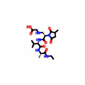 CCNC(=O)[C@H](C)NC(=O)[C@@H](NC(=O)[C@H](CNCC(=O)O)N1C(=O)CC(C)C1=O)C(C)C